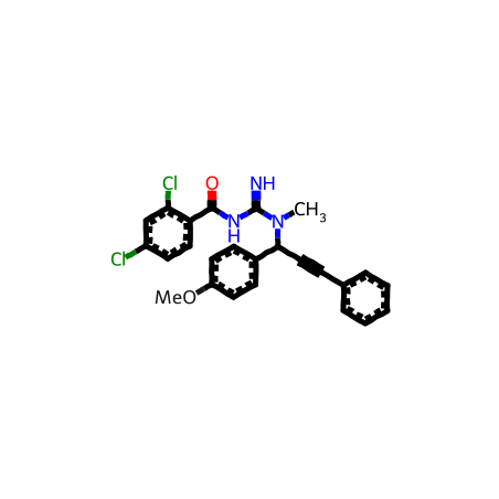 COc1ccc(C(C#Cc2ccccc2)N(C)C(=N)NC(=O)c2ccc(Cl)cc2Cl)cc1